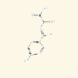 CC(=NC(O)C(=O)O)c1ccc(Cl)cc1